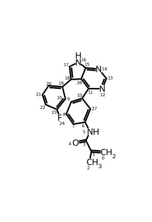 C=C(C)C(=O)Nc1cccc(-c2ncnc3[nH]cc(-c4cccc(F)c4)c23)c1